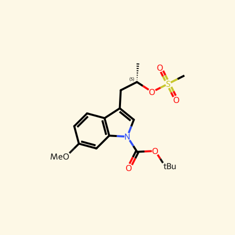 COc1ccc2c(C[C@H](C)OS(C)(=O)=O)cn(C(=O)OC(C)(C)C)c2c1